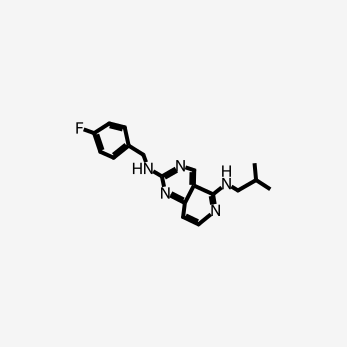 CC(C)CNc1nccc2nc(NCc3ccc(F)cc3)ncc12